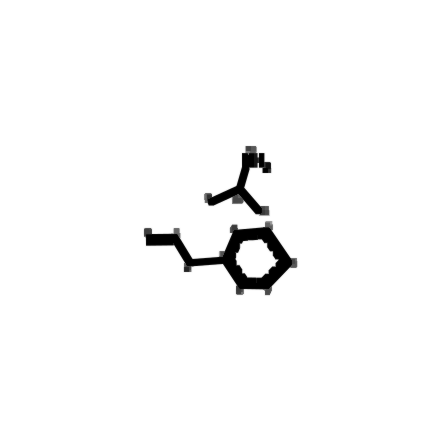 C=CCc1ccccc1.CC(C)N